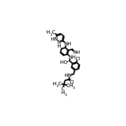 CC1=CC=C(NC2CC=CC(N[C@@H](O)c3cc(CNC(=O)CC(C)(C)C)ccc3Cl)=C2C=N)NN1